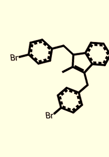 CC1=C(Cc2ccc(Br)cc2)c2ccccc2C1Cc1ccc(Br)cc1